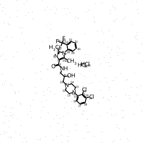 Cc1nc(C(=O)NCC(O)CN2CCN(c3cccc(Cl)c3Cl)CC2)c(C)n1-c1ccccc1C(F)(F)F.Cl.Cl